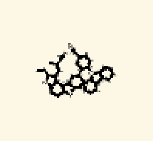 C=Cc1oc2ccc3oc4ccc(-c5cc(C#N)ccc5-n5c6ccccc6c6ccccc65)cc4c3c2c1/C=C(\C)C#N